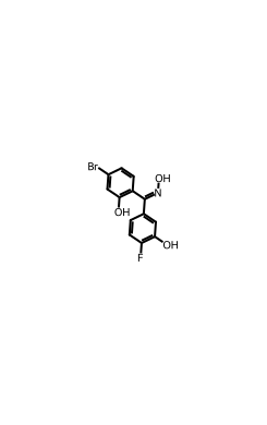 O/N=C(/c1ccc(F)c(O)c1)c1ccc(Br)cc1O